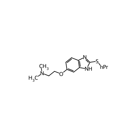 CCCSc1nc2ccc(OCCN(C)C)cc2[nH]1